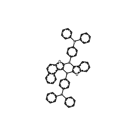 c1ccc(N(c2ccccc2)c2ccc(B3c4oc5ccc6ccccc6c5c4B(c4ccc(N(c5ccccc5)c5ccccc5)cc4)c4oc5ccccc5c43)cc2)cc1